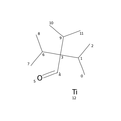 CC(C)C([C]=O)(C(C)C)C(C)C.[Ti]